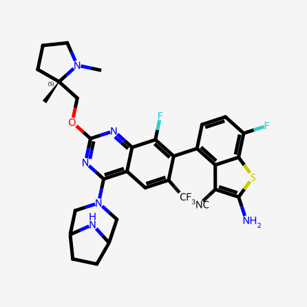 CN1CCC[C@@]1(C)COc1nc(N2CC3CCC(C2)N3)c2cc(C(F)(F)F)c(-c3ccc(F)c4sc(N)c(C#N)c34)c(F)c2n1